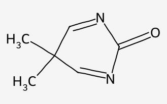 CC1(C)C=NC(=O)N=C1